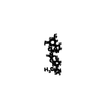 Cc1scnc1-c1ccc(F)c(OC2CN(C(=O)N3N=CCC3c3cc(F)cc(F)c3)C2)n1